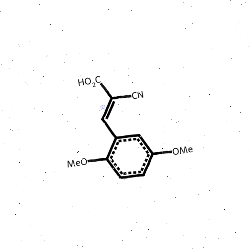 COc1ccc(OC)c(/C=C(\C#N)C(=O)O)c1